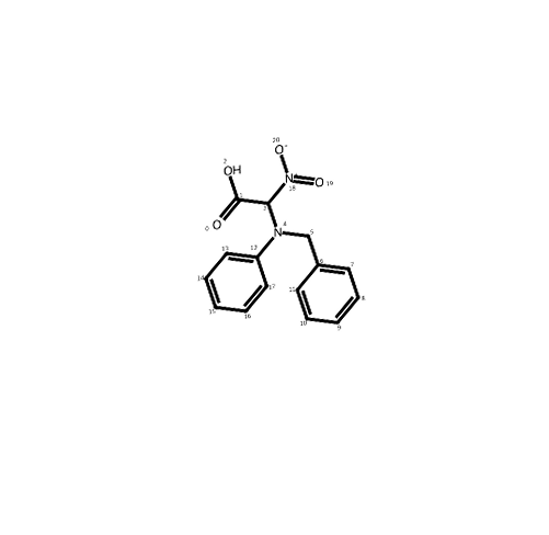 O=C(O)C(N(Cc1ccccc1)c1ccccc1)[N+](=O)[O-]